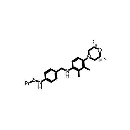 Cc1c(NCc2ccc(NSC(C)C)cc2)ccc(N2C[C@@H](C)O[C@@H](C)C2)c1C